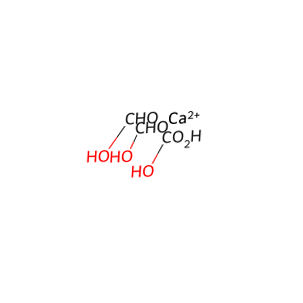 O=C(O)O.O=[C-]O.O=[C-]O.[Ca+2]